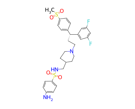 CS(=O)(=O)c1ccc([C@@H](CCN2CCC(CNS(=O)(=O)c3ccc(N)cc3)CC2)c2cc(F)cc(F)c2)cc1